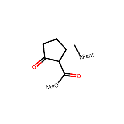 CCCCCC.COC(=O)C1CCCC1=O